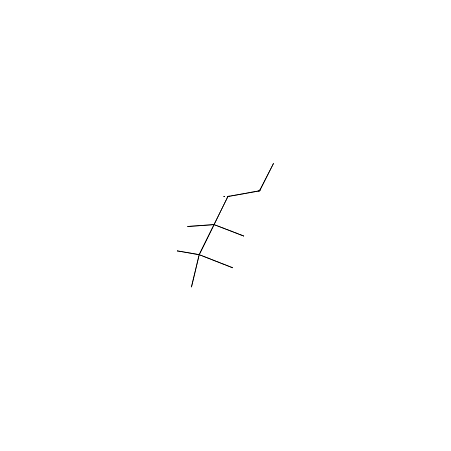 CC[CH]C(C)(C)C(C)(C)C